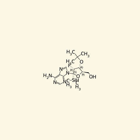 C[SiH](C)[C@@]1(n2cnc3c(N)ncnc32)O[C@H](CO)[C@@H](OC(C)(C)C)[C@H]1F